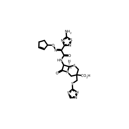 Nc1nc(C(=NOC2C=CCC2)C(=O)NC2C(=O)N3CC(CSc4nncs4)(C(=O)O)CS[C@H]23)ns1